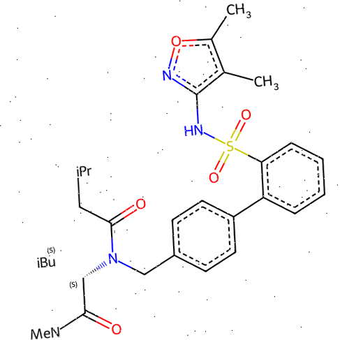 CC[C@H](C)[C@@H](C(=O)NC)N(Cc1ccc(-c2ccccc2S(=O)(=O)Nc2noc(C)c2C)cc1)C(=O)CC(C)C